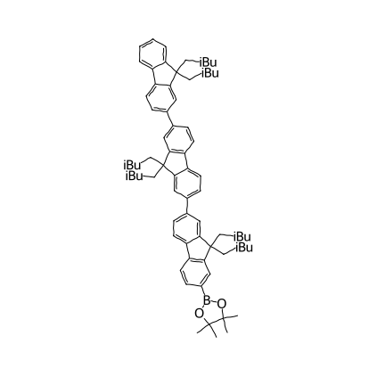 CCC(C)CC1(CC(C)CC)c2ccccc2-c2ccc(-c3ccc4c(c3)C(CC(C)CC)(CC(C)CC)c3cc(-c5ccc6c(c5)C(CC(C)CC)(CC(C)CC)c5cc(B7OC(C)(C)C(C)(C)O7)ccc5-6)ccc3-4)cc21